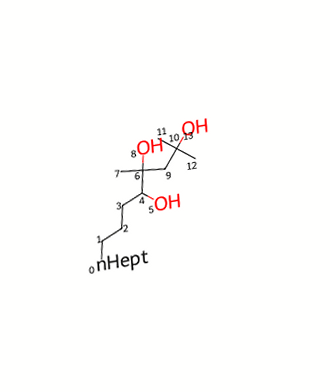 CCCCCCCCCCC(O)C(C)(O)CC(C)(C)O